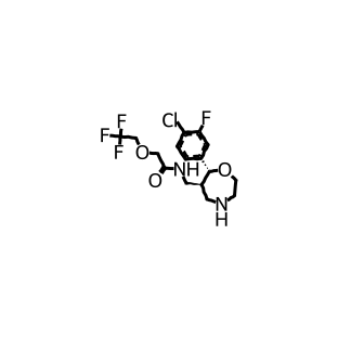 O=C(COCC(F)(F)F)NC[C@@H]1CNCCO[C@H]1c1ccc(Cl)c(F)c1